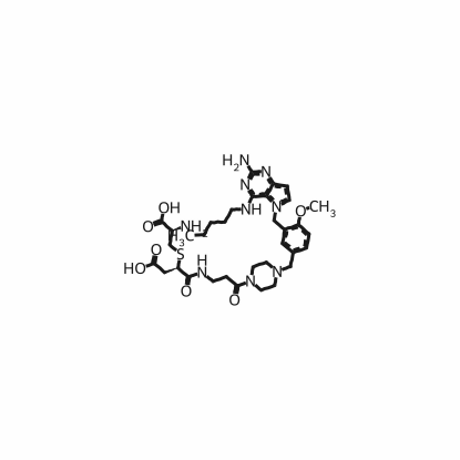 CCCCCNc1nc(N)nc2ccn(Cc3cc(CN4CCN(C(=O)CCNC(=O)[C@@H](CC(=O)O)SC[C@H](N)C(=O)O)CC4)ccc3OC)c12